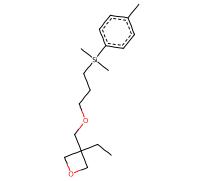 CCC1(COCCC[Si](C)(C)c2ccc(C)cc2)COC1